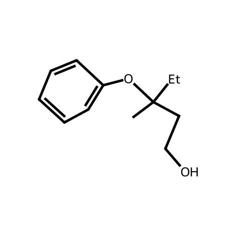 CCC(C)(CCO)Oc1ccccc1